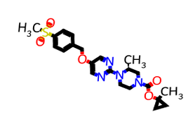 C[C@@H]1CN(C(=O)OC2(C)CC2)CCN1c1ncc(OCc2ccc(S(C)(=O)=O)cc2)cn1